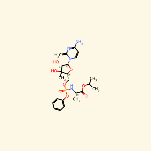 C=C1N=C(N)C=CN1[C@@H]1O[C@H](COP(=O)(N[C@@H](C)C(=O)OC(C)C)Oc2ccccc2)C(C)(O)[C@@H]1O